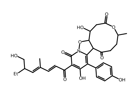 CCC(/C=C(C)/C=C/C(=O)c1c(O)c(-c2ccc(O)cc2)c2n(c1=O)OC1C(O)CC(=O)OC(C)CCC(=O)C21)CO